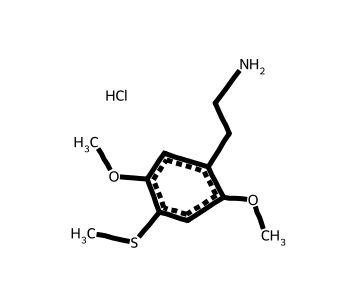 COc1cc(SC)c(OC)cc1CCN.Cl